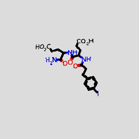 NC(=O)C(CCC(=O)O)NC(=O)C(CCC(=O)O)NC(=O)CCc1ccc(I)cc1